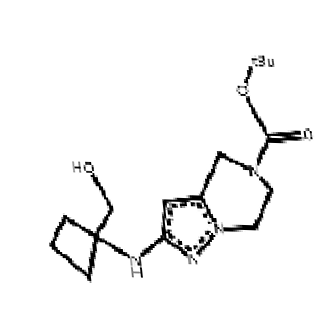 CC(C)(C)OC(=O)N1CCn2nc(NC3(CO)CCC3)cc2C1